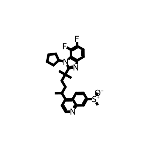 CC(CCC(C)(C)c1nc2ccc(F)c(F)c2n1C1CCCC1)c1ccnc2cc([S+](C)[O-])ccc12